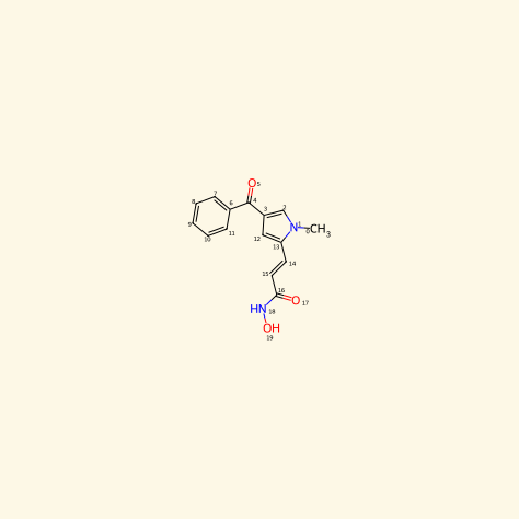 Cn1cc(C(=O)c2ccccc2)cc1C=CC(=O)NO